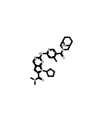 Cc1cc(Nc2ncc3cc(C(=O)N(C)C)n(C4CCCC4)c3n2)ncc1C(=O)N1CC2CCCC(C1)N2